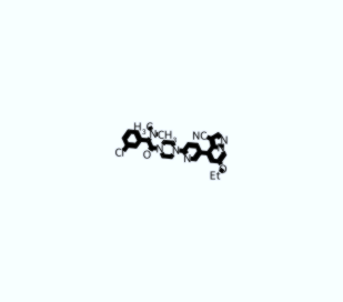 CCOc1cc(-c2ccc(N3CCN(C(=O)C(c4cccc(Cl)c4)N(C)C)CC3)nc2)c2c(C#N)cnn2c1